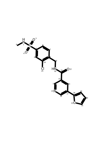 CNS(=O)(=O)c1ccc(CNC(=O)c2cncc(-c3ccco3)c2)c(Cl)c1